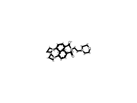 O=C1c2ccc(N3CCC3)c3c(N4CCC4)ccc(c23)C(=O)N1CCN1CCOCC1